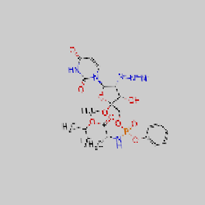 CO[C@]1(CO[P@](=O)(N[C@H](C)C(=O)OC(C)C)Oc2ccccc2)O[C@@H](n2ccc(=O)[nH]c2=O)[C@H](N=[N+]=[N-])[C@@H]1O